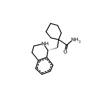 NC(=O)C1(C[C@H]2NCCc3ccccc32)CCCCC1